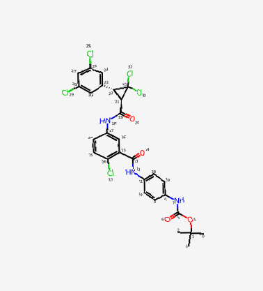 CC(C)(C)OC(=O)Nc1ccc(NC(=O)c2cc(NC(=O)[C@H]3[C@H](c4cc(Cl)cc(Cl)c4)C3(Cl)Cl)ccc2Cl)cc1